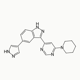 c1nc(-c2n[nH]c3ccc(-c4cn[nH]c4)cc23)cc(N2CCCCC2)n1